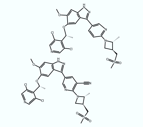 COc1cc2[nH]nc(-c3ccc(N4C[C@H](CS(C)(=O)=O)[C@H]4C)nc3)c2cc1O[C@H](C)c1c(Cl)cncc1Cl.COc1cc2[nH]nc(-c3cnc(N4C[C@H](CS(C)(=O)=O)[C@H]4C)c(C#N)c3)c2cc1O[C@H](C)c1c(Cl)cncc1Cl